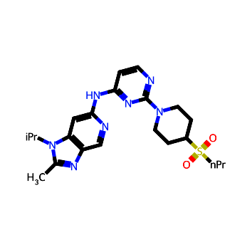 CCCS(=O)(=O)C1CCN(c2nccc(Nc3cc4c(cn3)nc(C)n4C(C)C)n2)CC1